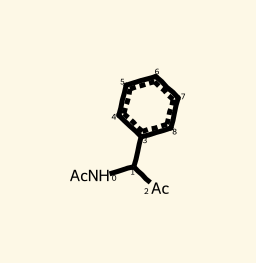 CC(=O)NC(C(C)=O)c1ccccc1